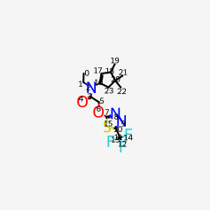 CCN(C(=O)COc1nnc(C(F)(F)F)s1)C1=CC(C)C(C)(C)C1